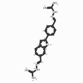 N=C(N)N/N=C/c1ccc(-c2cc3ccc(/C=N/NC(=N)N)cc3s2)cc1